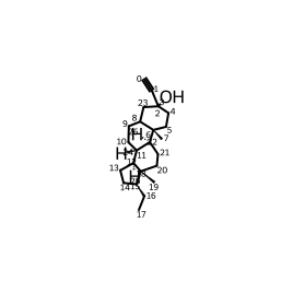 C#CC1(O)CC[C@@]2(C)C(CC[C@H]3[C@@H]4CC[C@H](CC)[C@@]4(C)CC[C@@H]32)C1